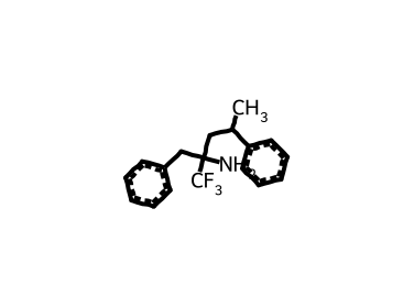 CC(CC(N)(Cc1ccccc1)C(F)(F)F)c1ccccc1